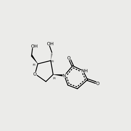 O=c1ccn([C@H]2CO[C@@H](CO)[C@@H]2CO)c(=O)[nH]1